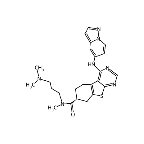 CN(C)CCCN(C)C(=O)[C@H]1CCc2c(sc3ncnc(Nc4ccn5nccc5c4)c23)C1